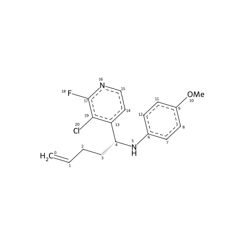 C=CCC[C@@H](Nc1ccc(OC)cc1)c1ccnc(F)c1Cl